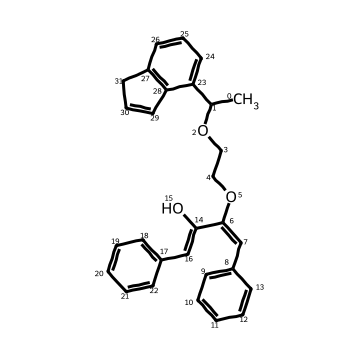 CC(OCCOC(=Cc1ccccc1)C(O)=Cc1ccccc1)c1cccc2c1C=CC2